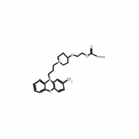 CCCCCCC(=O)OCCOC1CCN(CCCN2c3ccccc3Sc3ccc(C(F)(F)F)cc32)CC1